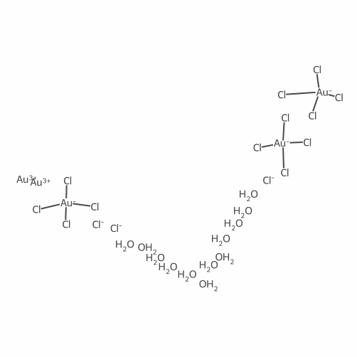 O.O.O.O.O.O.O.O.O.O.O.O.[Au+3].[Au+3].[Cl-].[Cl-].[Cl-].[Cl][Au-]([Cl])([Cl])[Cl].[Cl][Au-]([Cl])([Cl])[Cl].[Cl][Au-]([Cl])([Cl])[Cl]